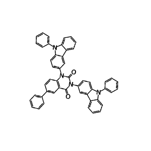 O=c1c2cc(-c3ccccc3)ccc2n(-c2ccc3c(c2)c2ccccc2n3-c2ccccc2)c(=O)n1-c1ccc2c(c1)c1ccccc1n2-c1ccccc1